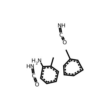 Cc1ccccc1.Cc1ccccc1N.N=C=O.N=C=O